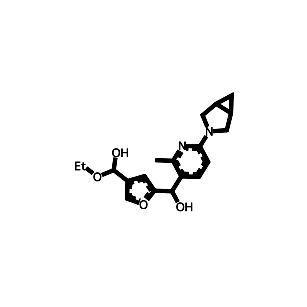 CCOC(O)c1coc(C(O)c2ccc(N3CC4CC4C3)nc2C)c1